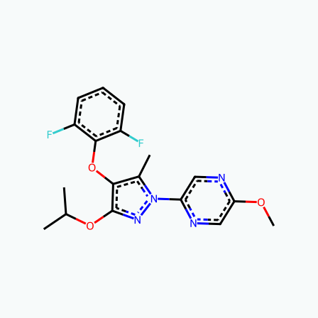 COc1cnc(-n2nc(OC(C)C)c(Oc3c(F)cccc3F)c2C)cn1